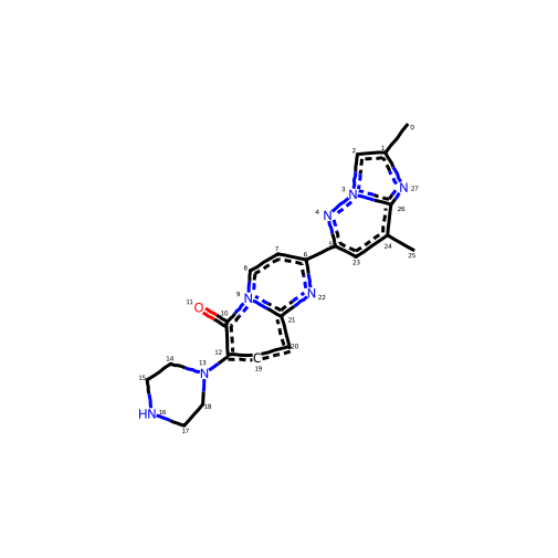 Cc1cn2nc(-c3ccn4c(=O)c(N5CCNCC5)ccc4n3)cc(C)c2n1